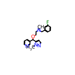 CN(CCOC(c1cccnc1)c1ccnn1C)Cc1cccc(F)c1